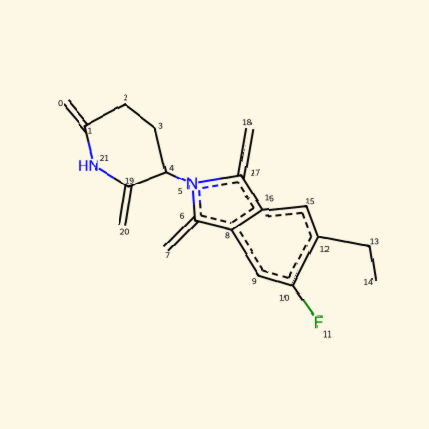 C=C1CCC(n2c(=C)c3cc(F)c(CC)cc3c2=C)C(=C)N1